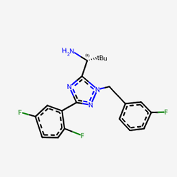 CC(C)(C)[C@@H](N)c1nc(-c2cc(F)ccc2F)nn1Cc1cccc(F)c1